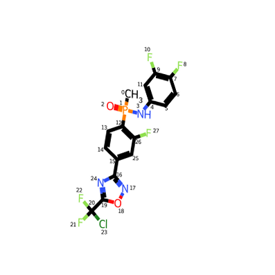 CP(=O)(Nc1ccc(F)c(F)c1)c1ccc(-c2noc(C(F)(F)Cl)n2)cc1F